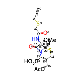 C#CCSCC(=O)N[C@]1(OC)C(=O)N2C(C(=O)O)=C(COC(C)=O)CS[C@@H]21